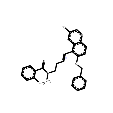 CN(CC/C=C/c1c(OCc2ccccc2)ccc2ncc(Br)cc12)C(=O)c1ccccc1C=O